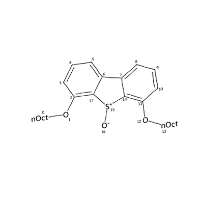 CCCCCCCCOc1cccc2c3cccc(OCCCCCCCC)c3[s+]([O-])c12